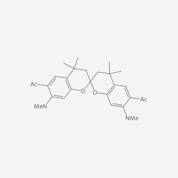 CNc1cc2c(cc1C(C)=O)C(C)(C)CC1(CC(C)(C)c3cc(C(C)=O)c(NC)cc3O1)O2